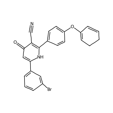 N#Cc1c(-c2ccc(OC3=CCCC=C3)cc2)[nH]c(-c2cccc(Br)c2)cc1=O